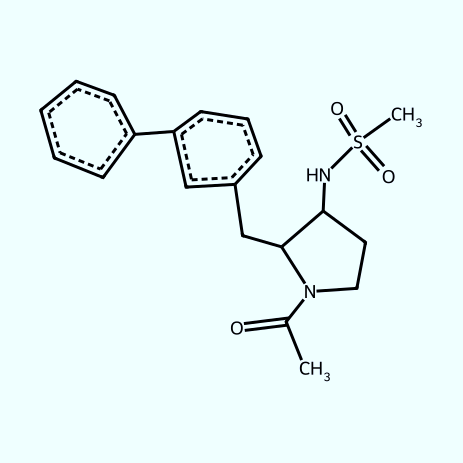 CC(=O)N1CCC(NS(C)(=O)=O)C1Cc1cccc(-c2ccccc2)c1